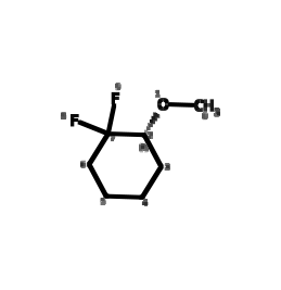 CO[C@@H]1CCCCC1(F)F